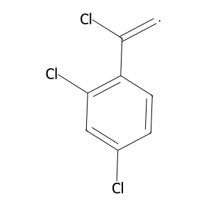 [CH]=C(Cl)c1ccc(Cl)cc1Cl